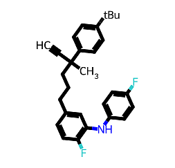 C#CC(C)(CCCc1ccc(F)c(Nc2ccc(F)cc2)c1)c1ccc(C(C)(C)C)cc1